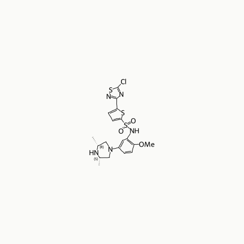 COc1ccc(N2C[C@@H](C)N[C@@H](C)C2)cc1NS(=O)(=O)c1ccc(-c2nsc(Cl)n2)s1